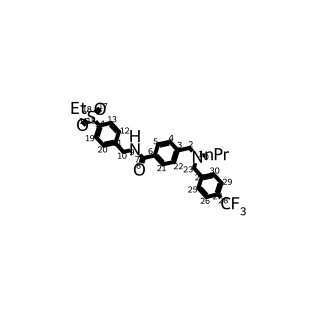 CCCN(Cc1ccc(C(=O)NCc2ccc(S(=O)(=O)CC)cc2)cc1)Cc1ccc(C(F)(F)F)cc1